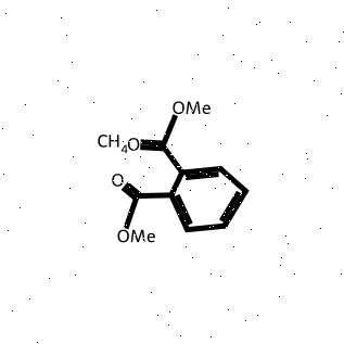 C.COC(=O)c1ccccc1C(=O)OC